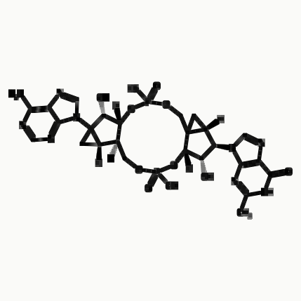 Cc1nc2c(ncn2[C@H]2[C@H](O)[C@@H]3OP(=O)(O)OC[C@@H]4[C@@H](OP(=O)(S)OCC35C[C@H]25)[C@@H](O)C2(n3cnc5c(N)ncnc53)C[C@@H]42)c(=O)[nH]1